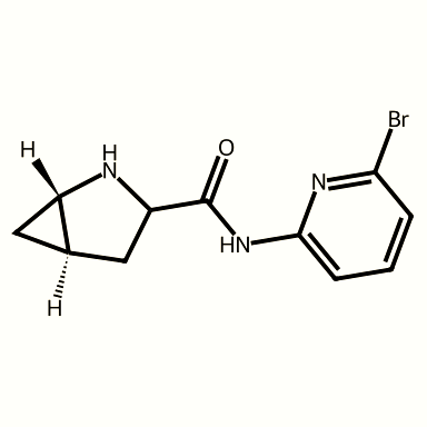 O=C(Nc1cccc(Br)n1)C1C[C@H]2C[C@@H]2N1